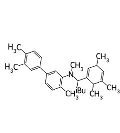 CCC(C)C(C1=CC(C)C=C(C)C1C)N(C)c1cc(-c2ccc(C)c(C)c2)ccc1C